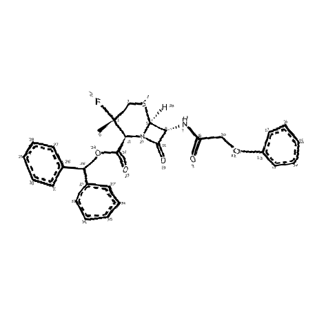 C[C@@]1(F)CS[C@H]2[C@H](NC(=O)COc3ccccc3)C(=O)N2[C@H]1C(=O)OC(c1ccccc1)c1ccccc1